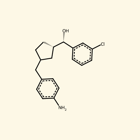 Nc1ccc(CC2CC[C@H]([C@H](O)c3cccc(Cl)c3)C2)cc1